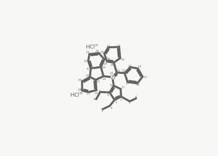 CCC1=C(CC)C(CC)=[C]([Zr](=[C](c2ccccc2)c2ccccc2)[CH]2c3ccccc3-c3ccccc32)C1.Cl.Cl